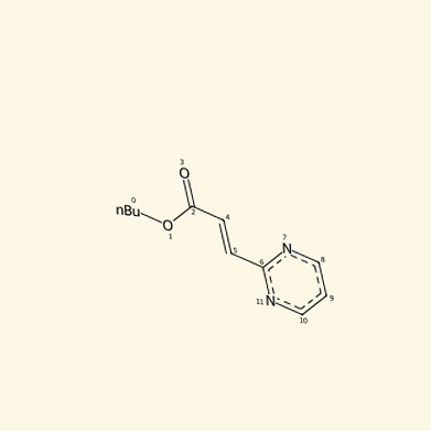 CCCCOC(=O)C=Cc1ncccn1